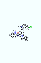 CN(C)C(c1ccc(Cl)cc1)C1CCC(C(c2nc(Cc3ccccc3)c(N3CCCC3)o2)N2CCc3ccccc3C2)CC1